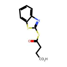 O=C(O)CCC(=O)Sc1nc2ccccc2s1